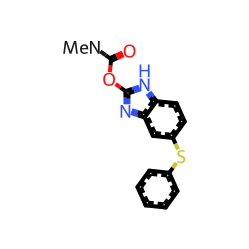 CNC(=O)Oc1nc2cc(Sc3ccccc3)ccc2[nH]1